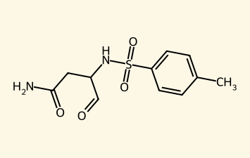 Cc1ccc(S(=O)(=O)NC(C=O)CC(N)=O)cc1